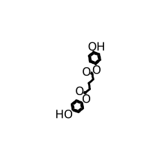 O=C(CCCC(=O)Oc1ccc(O)cc1)Oc1ccc(O)cc1